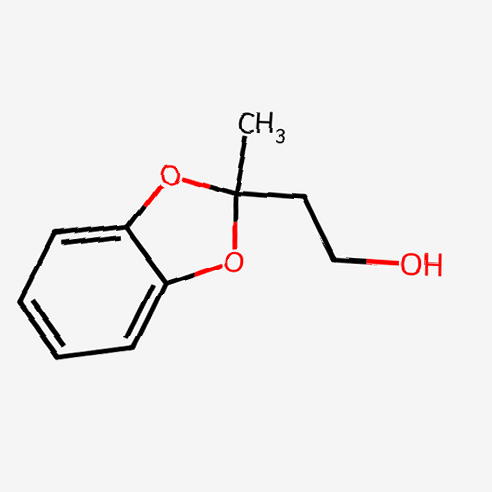 CC1(CCO)Oc2ccccc2O1